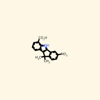 CC1(C)c2ccc([N+](=O)[O-])cc2-c2[nH]c3c(C(=O)O)cccc3c21